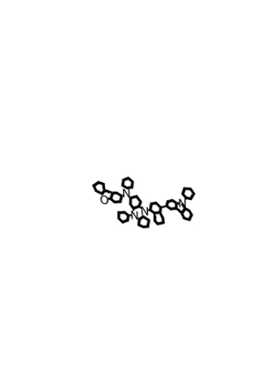 c1ccc(N(c2ccc3c(c2)N(c2ccccc2)c2ccccc2N3c2ccc(-c3ccc4c(c3)c3ccccc3n4-c3ccccc3)c3ccccc23)c2ccc3oc4ccccc4c3c2)cc1